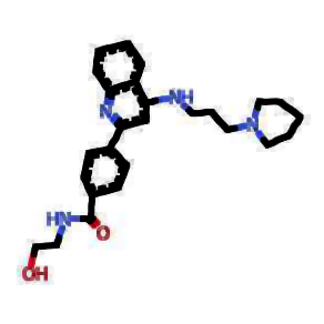 O=C(NCCO)c1ccc(-c2cc(NCCCN3CCCCC3)c3ccccc3n2)cc1